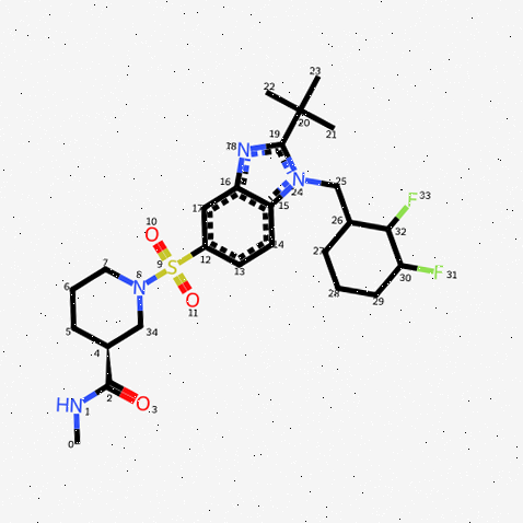 CNC(=O)[C@H]1CCCN(S(=O)(=O)c2ccc3c(c2)nc(C(C)(C)C)n3CC2CCCC(F)C2F)C1